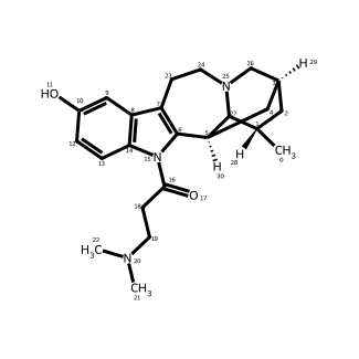 C[C@H]1C[C@H]2C[C@H]3c4c(c5cc(O)ccc5n4C(=O)CCN(C)C)CCN(C2)C13